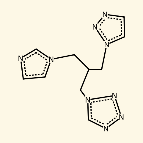 c1cn(C[C](Cn2ccnn2)Cn2cnnn2)cn1